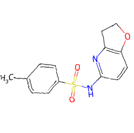 Cc1ccc(S(=O)(=O)Nc2ccc3c(n2)CCO3)cc1